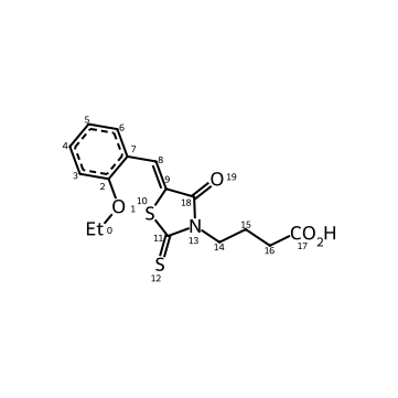 CCOc1ccccc1/C=C1\SC(=S)N(CCCC(=O)O)C1=O